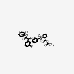 O=C(O[C@H]1CN2CCC1CC2)C(Nc1cccc(S(=O)(=O)N2CCC[C@@H]2C(=O)OC(=O)C(F)(F)F)c1)c1cccc(F)c1